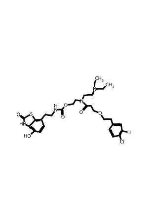 CCN(CC)CCN(CCOC(=O)NCCc1ccc(O)c2[nH]c(=O)sc12)C(=O)CCOCCc1ccc(Cl)c(Cl)c1